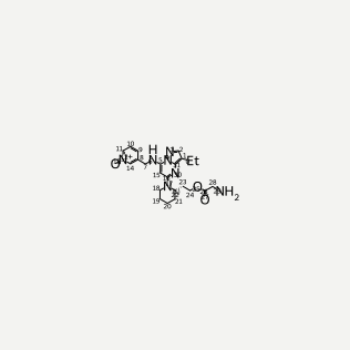 CCc1cnn2c(NCc3ccc[n+]([O-])c3)cc(N3CCCC[C@H]3CCOC(=O)CN)nc12